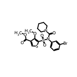 COC(=O)c1csc(S(=O)(=O)N(C(=O)N2CCCCC2)c2cccc(Br)c2)c1OC